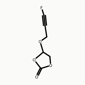 O=C1OCC(OCC#CF)O1